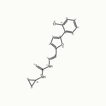 S=C(N/N=C/c1ccc(-c2ccccc2Cl)o1)NC1CC1